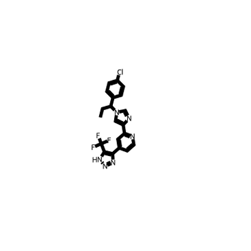 CCC(c1ccc(Cl)cc1)n1cnc(-c2cc(-c3nn[nH]c3C(F)(F)F)ccn2)c1